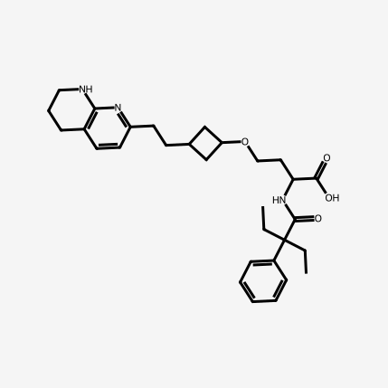 CCC(CC)(C(=O)NC(CCOC1CC(CCc2ccc3c(n2)NCCC3)C1)C(=O)O)c1ccccc1